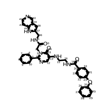 O=C(Cn1c(-c2ccccc2)ncc(NCCNC(=O)c2ccc(Oc3ccccc3)cc2)c1=O)NCc1cc2cnccc2[nH]1